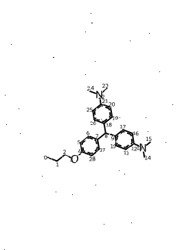 CCCOc1ccc(C(c2ccc(N(C)C)cc2)c2ccc(N(C)C)cc2)cc1